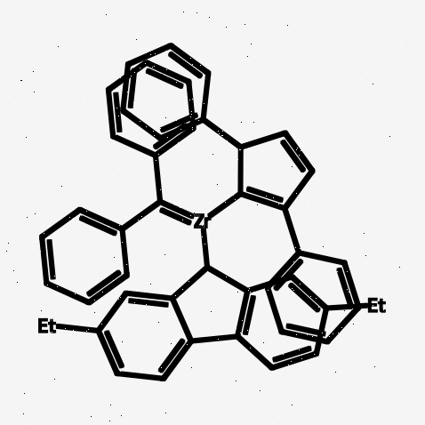 CCc1ccc2c(c1)[CH]([Zr]([C]1=C(c3ccccc3)C=CC1c1ccccc1)=[C](c1ccccc1)c1ccccc1)c1cc(CC)ccc1-2